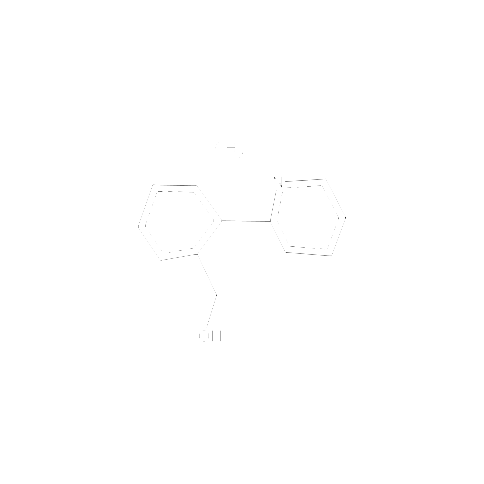 C.OCc1ccccc1-c1ccccn1